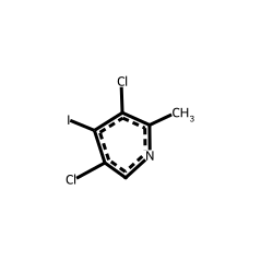 Cc1ncc(Cl)c(I)c1Cl